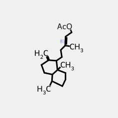 C=C1CCC2C(C)CCCC2(C)C1CC/C(C)=C/COC(C)=O